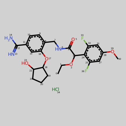 CCOC(C(=O)NCc1ccc(C(=N)N)cc1OC1CCCC1O)c1c(F)cc(OC)cc1F.Cl